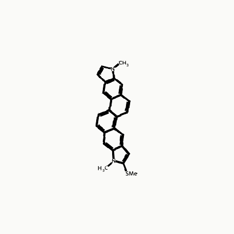 CSc1cc2cc3c(ccc4c5cc6ccn(C)c6cc5ccc34)cc2n1C